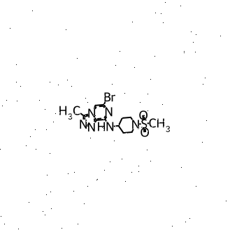 Cc1nnc2c(NC3CCN(S(C)(=O)=O)CC3)nc(Br)cn12